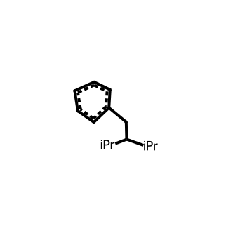 CC(C)C(Cc1ccccc1)C(C)C